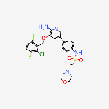 Nc1ncc(-c2ccc(NS(=O)(=O)CCN3CCOCC3)cc2)cc1OCc1c(F)ccc(F)c1Cl